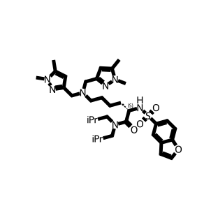 Cc1cc(CN(CCCC[C@H](NS(=O)(=O)c2ccc3occc3c2)C(=O)N(CC(C)C)CC(C)C)Cc2cc(C)n(C)n2)nn1C